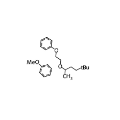 CC(CCC(C)(C)C)OCCOc1ccccc1.COc1ccccc1